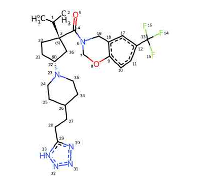 CC(C)[C@]1(C(=O)N2COc3ccc(C(F)(F)F)cc3C2)CC[C@@H](N2CCC(CCc3nnn[nH]3)CC2)C1